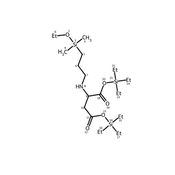 CCO[Si](C)(C)CCCNC(CC(=O)O[Si](CC)(CC)CC)C(=O)O[Si](CC)(CC)CC